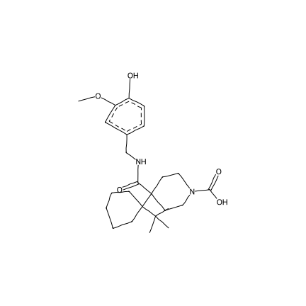 COc1cc(CNC(=O)C2(C3(C(C)(C)C)CCCCC3)CCN(C(=O)O)CC2)ccc1O